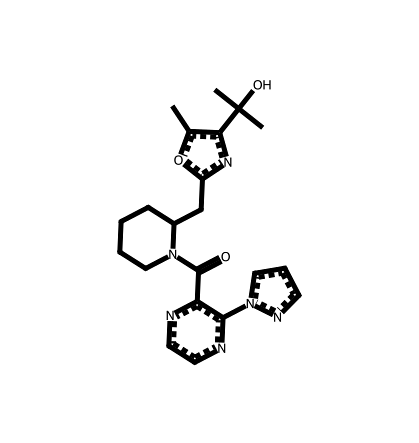 Cc1oc(CC2CCCCN2C(=O)c2nccnc2-n2cccn2)nc1C(C)(C)O